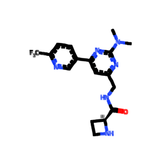 CN(C)c1nc(CNC(=O)[C@@H]2CCN2)cc(-c2ccc(C(F)(F)F)nc2)n1